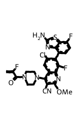 C=C(F)C(=O)N1CCN(c2c(C#N)c(OC)nc3c(F)c(-c4ccc(F)c5sc(N)nc45)c(Cl)cc23)CC1